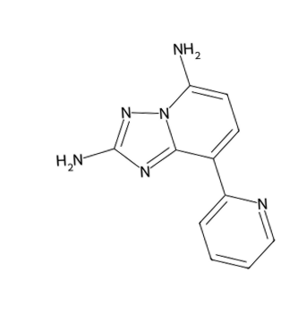 Nc1nc2c(-c3ccccn3)ccc(N)n2n1